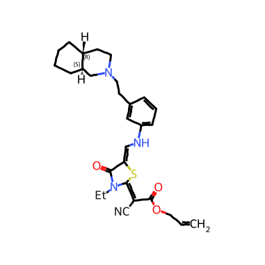 C=CCOC(=O)C(C#N)=c1sc(=CNc2cccc(CCN3CC[C@H]4CCCC[C@@H]4C3)c2)c(=O)n1CC